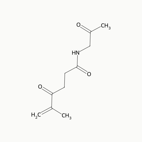 C=C(C)C(=O)CCC(=O)NCC(C)=O